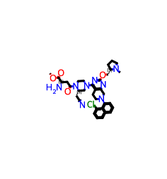 COC(=O)[C@@H](N)CC(=O)N1CCN(c2nc(OC[C@@H]3CCCN3C)nc3c2CCN(c2cccc4cccc(Cl)c24)C3)C[C@@H]1CC#N